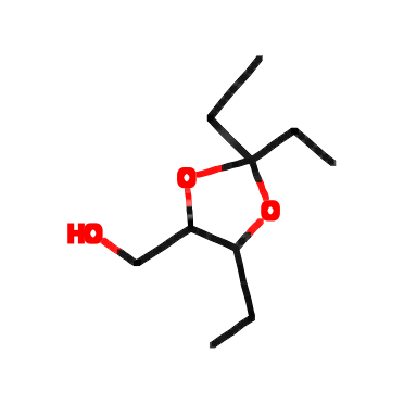 CCC1OC(CC)(CC)OC1CO